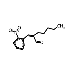 CCCCCC(C=O)=Cc1ccccc1[N+](=O)[O-]